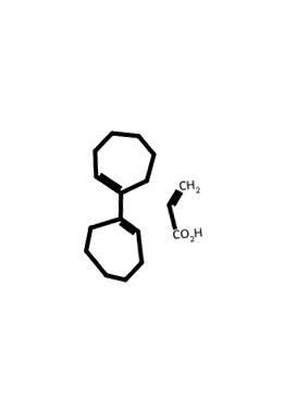 C1=C(C2=CCCCCC2)CCCCC1.C=CC(=O)O